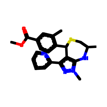 COC(=O)c1ccc(C2SCC(C)Nc3c2c(-c2ccccn2)nn3C)c(C)c1